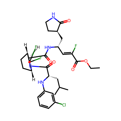 CCOC(=O)/C(F)=C/[C@@H](C[C@H]1CCNC1=O)NC(=O)[C@@H]1[C@H]2CC[C@H](CC2(F)F)N1C(=O)[C@H](CC(C)C)Nc1cccc(Cl)c1